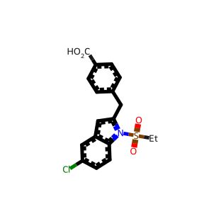 CCS(=O)(=O)n1c(Cc2ccc(C(=O)O)cc2)cc2cc(Cl)ccc21